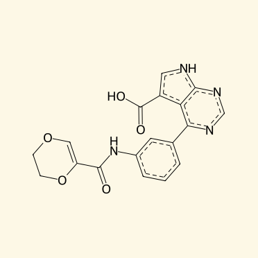 O=C(Nc1cccc(-c2ncnc3[nH]cc(C(=O)O)c23)c1)C1=COCCO1